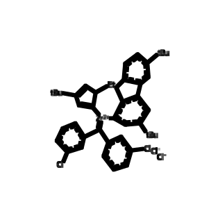 CCC1C=C(C(C)(C)C)C=[C]1[Zr+2](=[C](c1cccc(Cl)c1)c1cccc(Cl)c1)[c]1cc(C(C)(C)C)cc2c1Cc1ccc(C(C)(C)C)cc1-2.[Cl-].[Cl-]